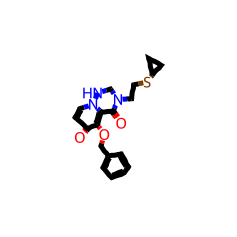 O=C1c2c(OCc3ccccc3)c(=O)ccn2NCN1CCSC1CC1